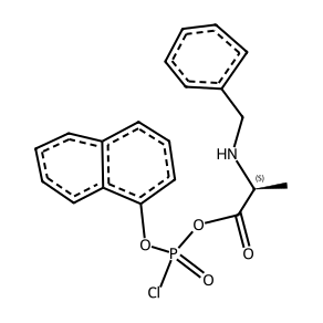 C[C@H](NCc1ccccc1)C(=O)OP(=O)(Cl)Oc1cccc2ccccc12